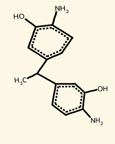 CC(c1ccc(N)c(O)c1)c1ccc(N)c(O)c1